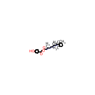 CC1=C(/C=C/C(C)=C/C=C/C(C)=C/C(=O)OCC(=O)c2ccc(O)cc2)C(C)(C)CCC1